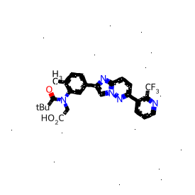 Cc1ccc(-c2cn3nc(-c4cccnc4C(F)(F)F)ccc3n2)cc1N(CC(=O)O)C(=O)C(C)(C)C